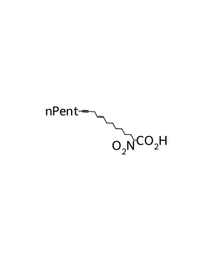 CCCCCC#CCC=CCCCCCCC(C(=O)O)[N+](=O)[O-]